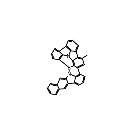 Cc1cc2c3c4c1c1cccc5c6cccc(c6n4c51)B3n1c3cc4ccccc4cc3c3cccc-2c31